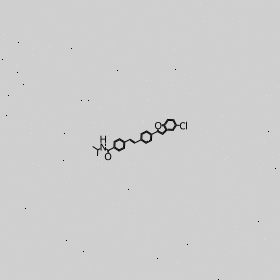 CC(C)NC(=O)c1ccc(C=Cc2ccc(-c3cc4cc(Cl)ccc4o3)cc2)cc1